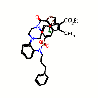 CCOC(=O)c1sc2ccc(S(=O)(=O)N(CCCc3ccccc3)c3ccccc3N3CCN(C(=O)c4sccc4Br)CC3)cc2c1C